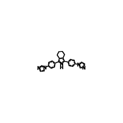 c1cn(-c2ccc(-c3[nH]c(-c4ccc(-n5ccnc5)cc4)c4c3CCCC4)cc2)cn1